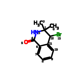 CC1(C)NC(=O)c2ccccc2C1Br